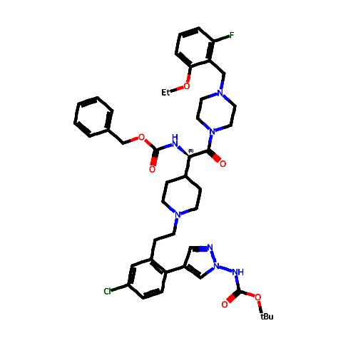 CCOc1cccc(F)c1CN1CCN(C(=O)[C@H](NC(=O)OCc2ccccc2)C2CCN(CCc3cc(Cl)ccc3-c3cnn(NC(=O)OC(C)(C)C)c3)CC2)CC1